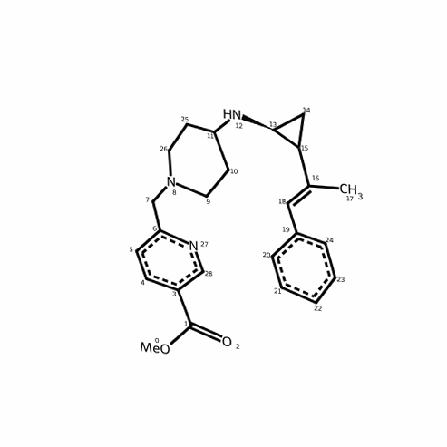 COC(=O)c1ccc(CN2CCC(N[C@H]3CC3C(C)=Cc3ccccc3)CC2)nc1